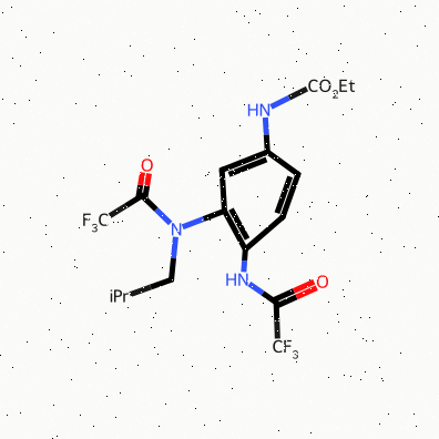 CCOC(=O)Nc1ccc(NC(=O)C(F)(F)F)c(N(CC(C)C)C(=O)C(F)(F)F)c1